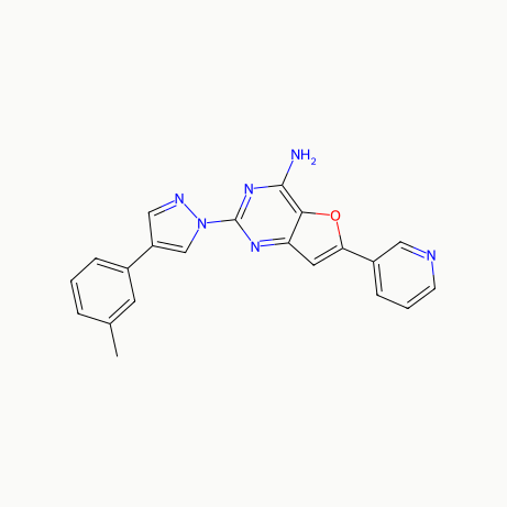 Cc1cccc(-c2cnn(-c3nc(N)c4oc(-c5cccnc5)cc4n3)c2)c1